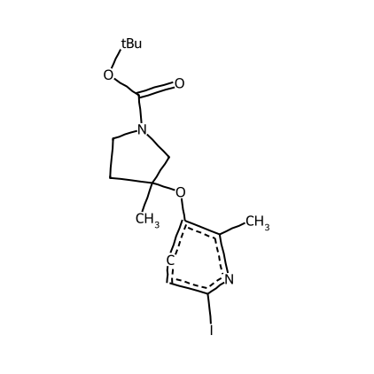 Cc1nc(I)ccc1OC1(C)CCN(C(=O)OC(C)(C)C)C1